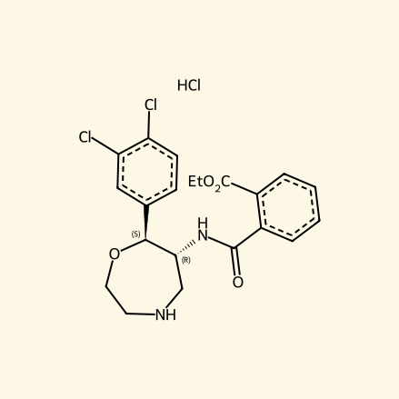 CCOC(=O)c1ccccc1C(=O)N[C@@H]1CNCCO[C@H]1c1ccc(Cl)c(Cl)c1.Cl